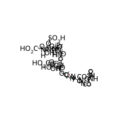 Cc1c(-c2ccc(N3CCc4cccc(C(=O)Nc5nc6ccccc6s5)c4C3)nc2C(=O)O)cnn1CC12CC3(C)CC(OCCN(C)C(=O)OCc4ccc(NC(=O)[C@H](C)NC(=O)[C@@H](NC(=O)CN5C(O)[C@@H](NC(=O)CCC(=O)O)C[C@H]5COCCS(=O)(=O)O)C(C)C)cc4CC[C@@H]4O[C@H](C(=O)O)[C@@H](O)[C@H](O)[C@H]4O)(CC1(C)C3)C2